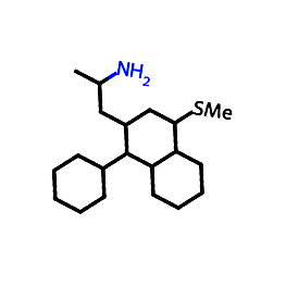 CSC1CC(CC(C)N)C(C2CCCCC2)C2CCCCC12